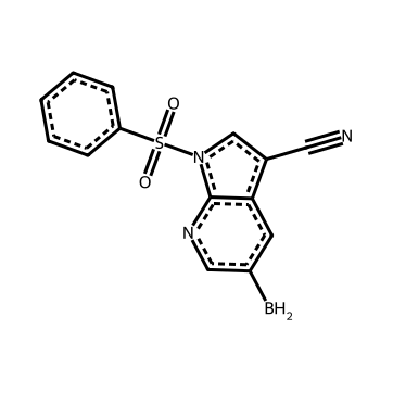 Bc1cnc2c(c1)c(C#N)cn2S(=O)(=O)c1ccccc1